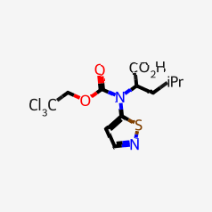 CC(C)CC(C(=O)O)N(C(=O)OCC(Cl)(Cl)Cl)c1ccns1